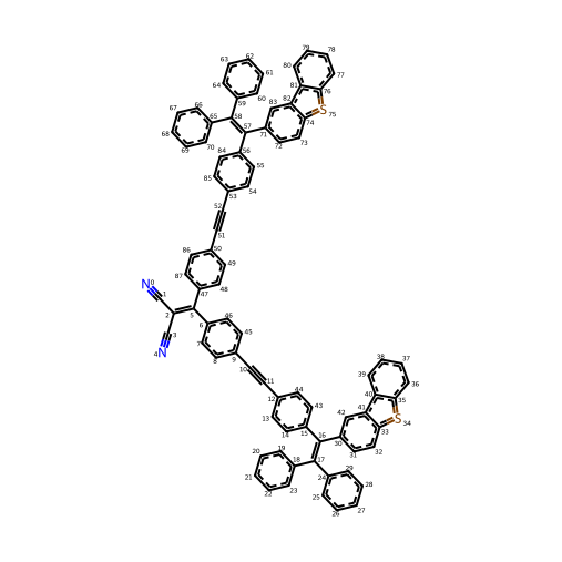 N#CC(C#N)=C(c1ccc(C#Cc2ccc(C(=C(c3ccccc3)c3ccccc3)c3ccc4sc5ccccc5c4c3)cc2)cc1)c1ccc(C#Cc2ccc(C(=C(c3ccccc3)c3ccccc3)c3ccc4sc5ccccc5c4c3)cc2)cc1